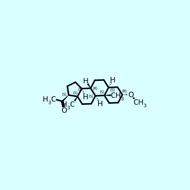 CO[C@@H]1CC[C@@]2(C)[C@@H](CC[C@@H]3[C@@H]2CC[C@]2(C)[C@@H](C(C)=O)CC[C@@H]32)C1